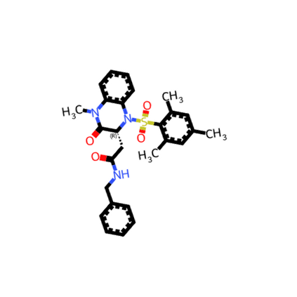 Cc1cc(C)c(S(=O)(=O)N2c3ccccc3N(C)C(=O)[C@H]2CC(=O)NCc2ccccc2)c(C)c1